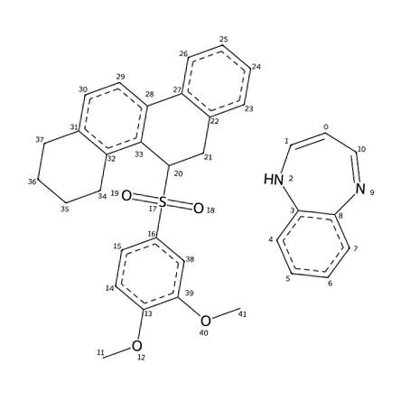 C1=CNc2ccccc2N=C1.COc1ccc(S(=O)(=O)C2Cc3ccccc3-c3ccc4c(c32)CCCC4)cc1OC